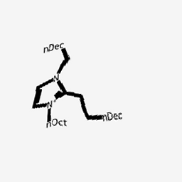 CCCCCCCCCCCCc1n(CCCCCCCCCCC)cc[n+]1CCCCCCCC